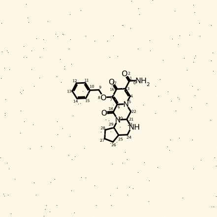 NC(=O)c1cn2c(c(OCc3ccccc3)c1=O)C(=O)N1C(C2)NCC2CCCC21